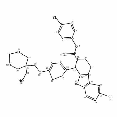 O=C(Oc1ccc(Cl)cc1)N1CCc2c([nH]c3ccc(Cl)cc23)C1C1=CC=C(OCC2(CO)COCOC2)CC1